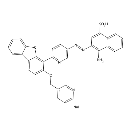 Nc1c(N=Nc2ccc(-c3c(OCc4cccnc4)ccc4c3sc3ccccc34)nc2)cc(S(=O)(=O)O)c2ccccc12.[NaH]